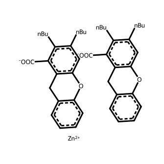 CCCCc1cc2c(c(C(=O)[O-])c1CCCC)Cc1ccccc1O2.CCCCc1cc2c(c(C(=O)[O-])c1CCCC)Cc1ccccc1O2.[Zn+2]